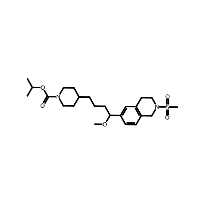 COC(CCCC1CCN(C(=O)OC(C)C)CC1)c1ccc2c(c1)CCN(S(C)(=O)=O)C2